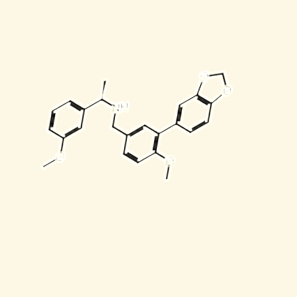 COc1cccc([C@@H](C)NCc2ccc(OC)c(-c3ccc4c(c3)OCO4)c2)c1